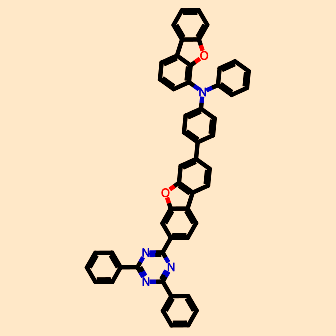 c1ccc(-c2nc(-c3ccccc3)nc(-c3ccc4c(c3)oc3cc(-c5ccc(N(c6ccccc6)c6cccc7c6oc6ccccc67)cc5)ccc34)n2)cc1